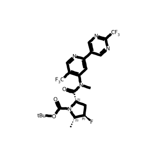 C[C@H]1[C@H](F)C[C@@H](C(=O)N(C)c2cc(-c3cnc(C(F)(F)F)nc3)ncc2C(F)(F)F)N1C(=O)OC(C)(C)C